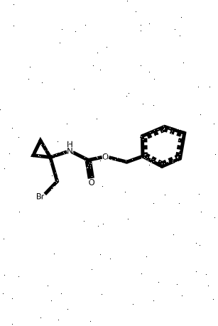 O=C(NC1(CBr)CC1)OCc1ccccc1